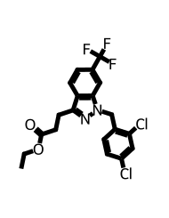 CCOC(=O)CCc1nn(Cc2ccc(Cl)cc2Cl)c2cc(C(F)(F)F)ccc12